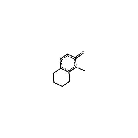 Cn1c2c(ccc1=O)CCCC2